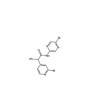 CCCC(C(=O)Nc1cnc(Br)cn1)c1ccnc(Br)c1